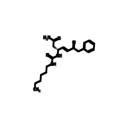 CCCCCCNC(=O)N[C@@H](/C=C/C(=O)Cc1ccccc1)CC(N)=O